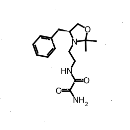 CC1(C)OC[C@H](Cc2ccccc2)N1CCNC(=O)C(N)=O